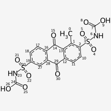 Cc1c(S(=O)(=O)NC(=O)O)ccc2c1C(=O)c1ccc(S(=O)(=O)NC(=O)O)cc1C2=O